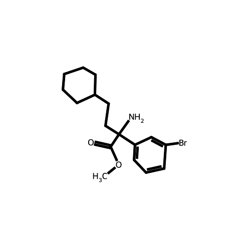 COC(=O)C(N)(CCC1CCCCC1)c1cccc(Br)c1